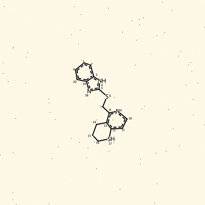 c1ccc2[nH]c(SCc3nccc4c3CCC[SH]4)nc2c1